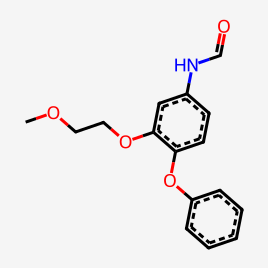 COCCOc1cc(NC=O)ccc1Oc1ccccc1